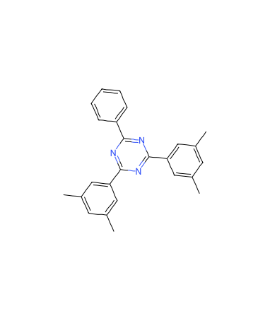 Cc1cc(C)cc(-c2nc(-c3ccccc3)nc(-c3cc(C)cc(C)c3)n2)c1